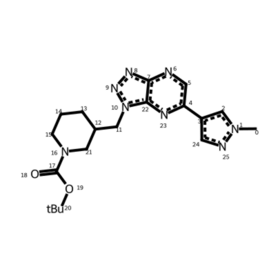 Cn1cc(-c2cnc3nnn(CC4CCCN(C(=O)OC(C)(C)C)C4)c3n2)cn1